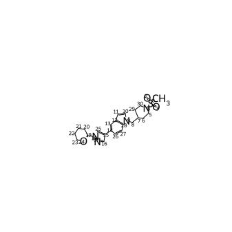 CS(=O)(=O)N1CCC(Cn2ccc3cc(-c4cnn(C5CCCCO5)c4)ccc32)CC1